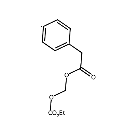 CCOC(=O)OCOC(=O)Cc1cc[c]cc1